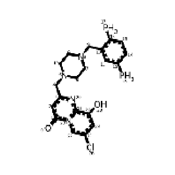 O=c1cc(CN2CCN(Cc3cc(P)ccc3P)CC2)nc2c(O)cc(Cl)cn12